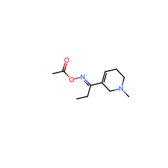 CC/C(=N\OC(C)=O)C1=CCCN(C)C1